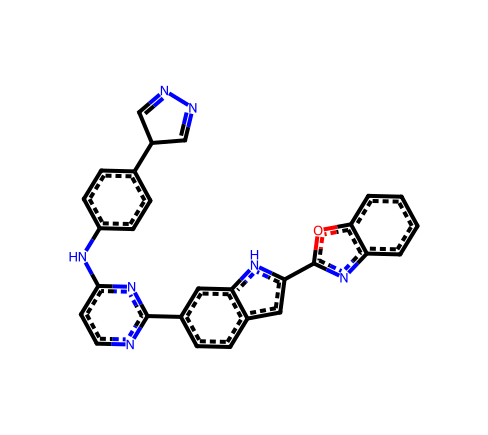 C1=NN=CC1c1ccc(Nc2ccnc(-c3ccc4cc(-c5nc6ccccc6o5)[nH]c4c3)n2)cc1